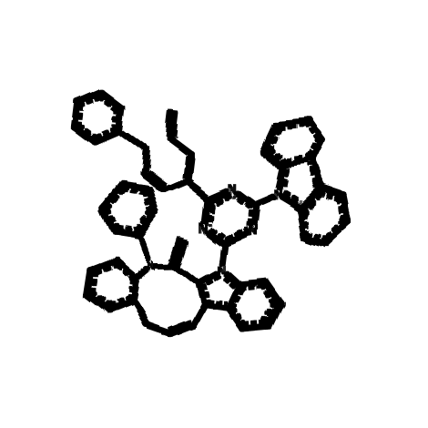 C=C/C=C(\C=C/Cc1ccccc1)c1nc(-n2c3c(c4ccccc42)/C=C\Cc2ccccc2N(c2ccccc2)C3=C)nc(-n2c3ccccc3c3ccccc32)n1